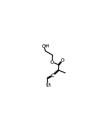 CCC=C=C(C)C(=O)OCCO